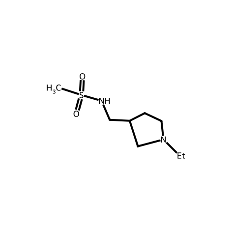 CCN1CCC(CNS(C)(=O)=O)C1